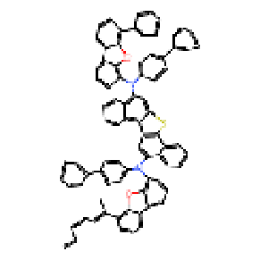 C=C/C=C\C=C(/C)c1cccc2c1oc1c(N(c3ccc(-c4ccccc4)cc3)c3cc4c(sc5cc(N(c6ccc(-c7ccccc7)cc6)c6cccc7c6oc6c(-c8ccccc8)cccc67)c6ccccc6c54)c4ccccc34)cccc12